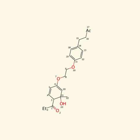 CCC(=O)C1C=CC(OCCOc2ccc(CCC(C)=O)cc2)=CC1(C)O